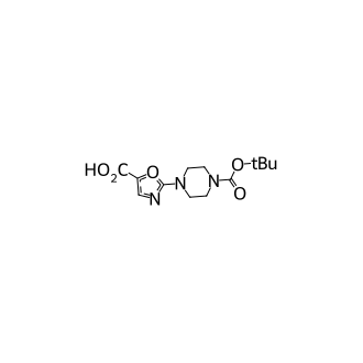 CC(C)(C)OC(=O)N1CCN(c2ncc(C(=O)O)o2)CC1